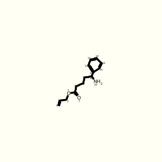 C=CCOC(=O)CCCC(N)c1ccccc1